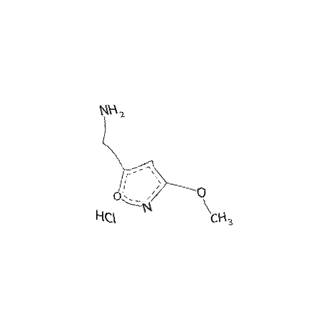 COc1cc(CN)on1.Cl